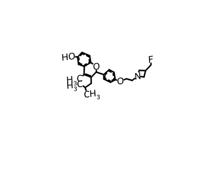 CC1=C(CC(C)C)C(c2ccc(OCCN3CC(CF)C3)cc2)Oc2ccc(O)cc21